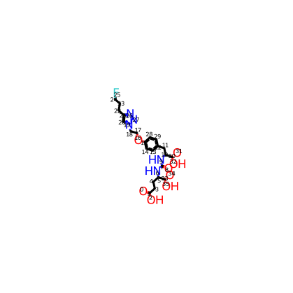 O=C(O)CCC(NC(=O)NC(Cc1ccc(OCCn2cc(CCCF)nn2)cc1)C(=O)O)C(=O)O